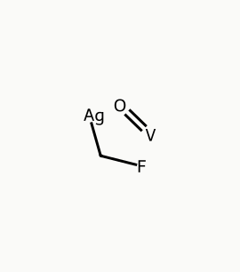 F[CH2][Ag].[O]=[V]